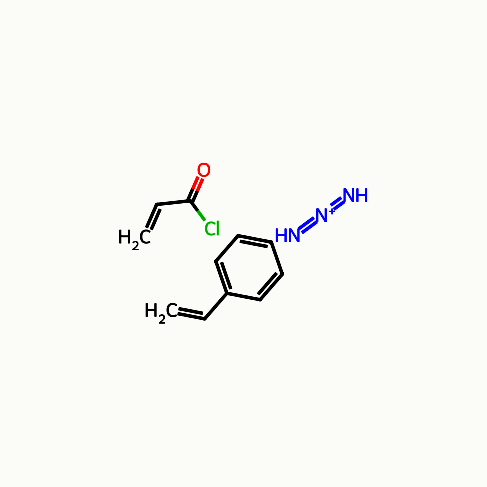 C=CC(=O)Cl.C=Cc1ccccc1.N=[N+]=N